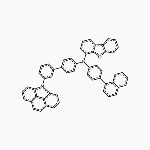 c1cc(-c2ccc(N(c3ccc(-c4cccc5ccccc45)cc3)c3cccc4c3oc3ccccc34)cc2)cc(-n2c3cccc4ccc5cccc2c5c43)c1